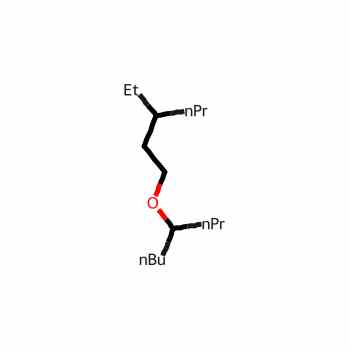 CCCCC(CCC)OCCC(CC)CCC